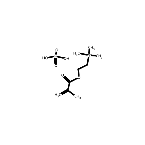 C=C(C)C(=O)OCC[N+](C)(C)C.O=P([O-])(O)O